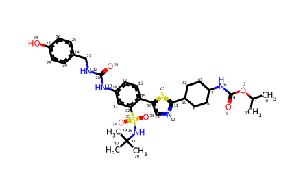 CC(C)OC(=O)NC1CCC(c2ncc(-c3ccc(NC(=O)NCc4ccc(O)cc4)cc3S(=O)(=O)NC(C)(C)C)s2)CC1